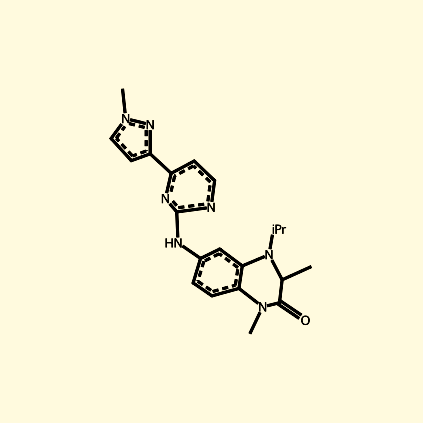 CC(C)N1c2cc(Nc3nccc(-c4ccn(C)n4)n3)ccc2N(C)C(=O)C1C